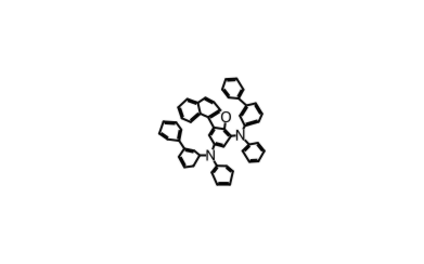 C1=CC(c2ccccc2)=CC(N(c2ccccc2)c2cc(N(c3ccccc3)c3cccc(-c4ccccc4)c3)c3oc4ccc5ccccc5c4c3c2)C1